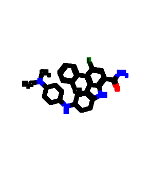 Cc1ccccc1-c1c(F)cc(C(N)=O)c2[nH]c3c(c12)CC(NC1CCC(N(C)C)CC1)CC3